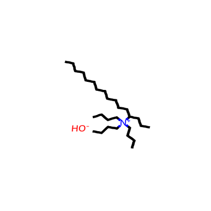 CCCCCCCCCCCCC(CCC)[N+](CCCC)(CCCC)CCCC.[OH-]